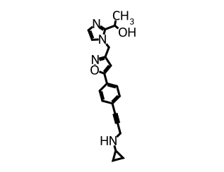 CC(O)c1nccn1Cc1cc(-c2ccc(C#CCNC3CC3)cc2)on1